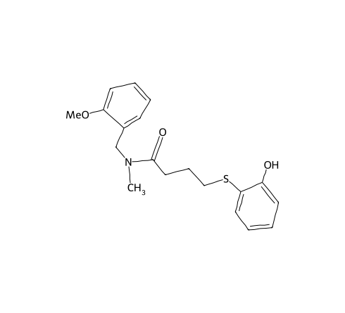 COc1ccccc1CN(C)C(=O)CCCSc1ccccc1O